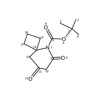 CC(C)(C)OC(=O)N1C(=O)CC(=O)CC12CCC2